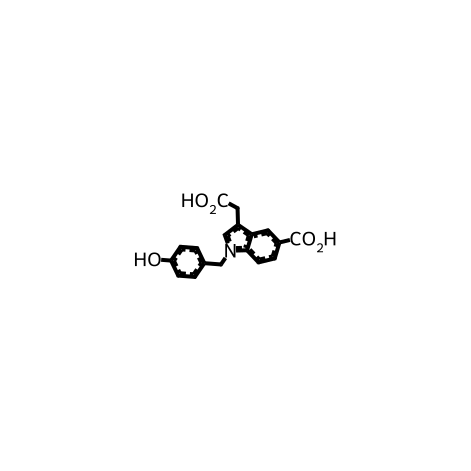 O=C(O)Cc1cn(Cc2ccc(O)cc2)c2ccc(C(=O)O)cc12